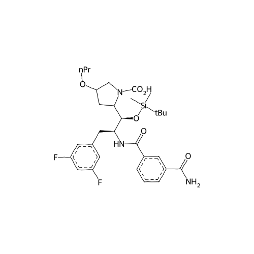 CCCOC1CC([C@@H](O[Si](C)(C)C(C)(C)C)[C@H](Cc2cc(F)cc(F)c2)NC(=O)c2cccc(C(N)=O)c2)N(C(=O)O)C1